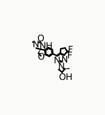 C[C@H]1[C@H](O)CN1c1nc(-c2ccc3c(c2)OC[C@]32CN(C)C(=O)N2)c2c(n1)C(F)(F)CC2